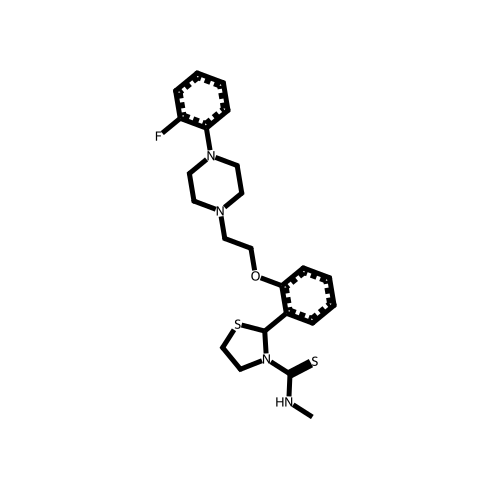 CNC(=S)N1CCSC1c1ccccc1OCCN1CCN(c2ccccc2F)CC1